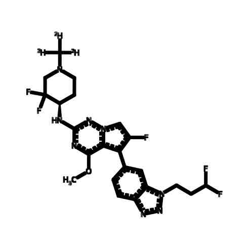 [2H]C([2H])([2H])N1CC[C@@H](Nc2nc(OC)c3c(-c4ccc5nnn(CCC(F)F)c5c4)c(F)cn3n2)C(F)(F)C1